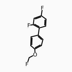 FCOc1ccc(-c2ccc(F)cc2F)cc1